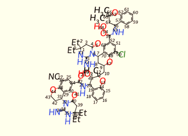 CCC1(CC)CC(=O)N([C@@H]2CC(CC3(C)Oc4ccccc4[C@@H](NC(=O)c4cc(C#N)c5c(c4)[C@H](N4C(=N)NC(CC)(CC)CC4=O)CCO5)[C@@H]3O)Oc3c(Cl)cc(C(=O)N[C@@H]4c5ccccc5OC(C)(C)[C@H]4O)cc32)C(=N)N1